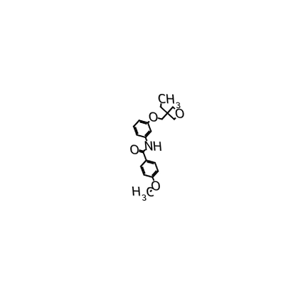 CCC1(COc2cccc(NC(=O)c3ccc(OC)cc3)c2)COC1